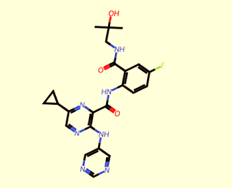 CC(C)(O)CNC(=O)c1cc(F)ccc1NC(=O)c1nc(C2CC2)cnc1Nc1cncnc1